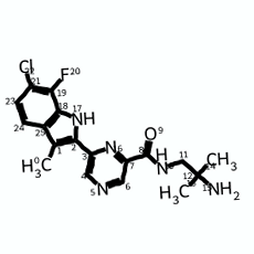 Cc1c(-c2cncc(C(=O)NCC(C)(C)N)n2)[nH]c2c(F)c(Cl)ccc12